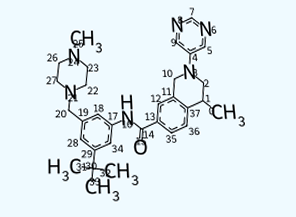 CC1CN(c2cncnc2)Cc2cc(C(=O)Nc3cc(CN4CCN(C)CC4)cc(C(C)(C)C)c3)ccc21